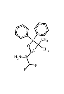 CC(C)(C)[Si](OC[C@@H](N)C(F)F)(c1ccccc1)c1ccccc1